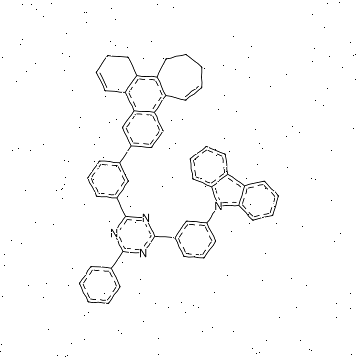 C1=Cc2c(c3c(c4cc(-c5cccc(-c6nc(-c7ccccc7)nc(-c7cccc(-n8c9ccccc9c9ccccc98)c7)n6)c5)ccc24)C=CCC3)CCC1